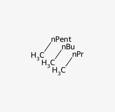 CCCC.CCCCC.CCCCCC